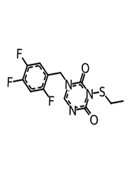 CCSn1c(=O)ncn(Cc2cc(F)c(F)cc2F)c1=O